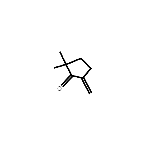 C=C1CCC(C)(C)C1=O